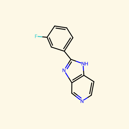 Fc1cccc(-c2nc3cnccc3[nH]2)c1